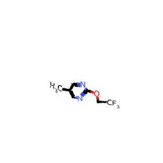 Cc1[c]nc(OCC(F)(F)F)nc1